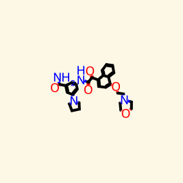 NC(=O)c1cc(NC(=O)C(=O)c2ccc(OCCN3CCOCC3)c3ccccc23)cc(N2CCCC2)c1